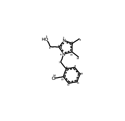 Cc1nc(CO)n(Cc2ccccc2Cl)c1C